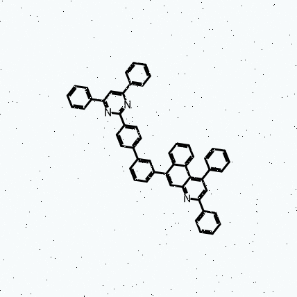 c1ccc(-c2cc(-c3ccccc3)nc(-c3ccc(-c4cccc(-c5cc6nc(-c7ccccc7)cc(-c7ccccc7)c6c6ccccc56)c4)cc3)n2)cc1